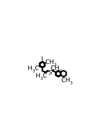 C=C(S/C=C(\C)Cc1cc(C)c(I)cc1C)c1ccc2c(c1)CCCC2C